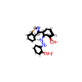 Oc1ccccc1N=Nc1c(O)cccc1-c1nsc2ccccc12